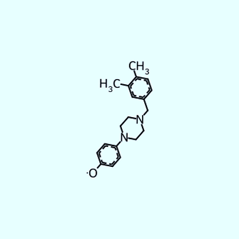 Cc1ccc(CN2CCN(c3ccc([O])cc3)CC2)cc1C